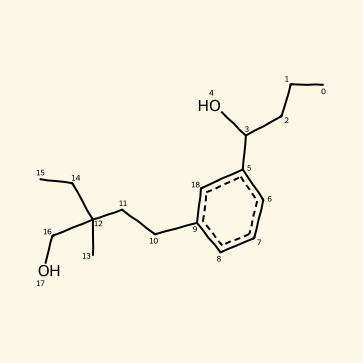 CCCC(O)c1cccc(CCC(C)(CC)CO)c1